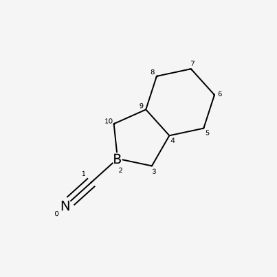 N#CB1CC2CCCCC2C1